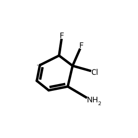 NC1=CC=[C]C(F)C1(F)Cl